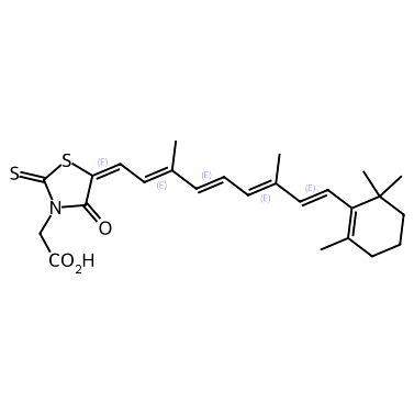 CC1=C(/C=C/C(C)=C/C=C/C(C)=C/C=C2/SC(=S)N(CC(=O)O)C2=O)C(C)(C)CCC1